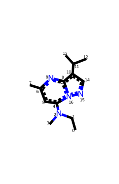 CCN(C)c1cc(C)nc2c(C(C)C)cnn12